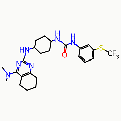 CN(C)c1nc(NC2CCC(NC(=O)Nc3cccc(SC(F)(F)F)c3)CC2)nc2c1CCCC2